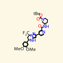 COc1ccc(C2CC(C(F)(F)F)n3nc(-c4ccnc(C(=O)N[C@H]5CCCN(C(=O)OC(C)(C)C)C5)c4)cc3N2)cc1OC